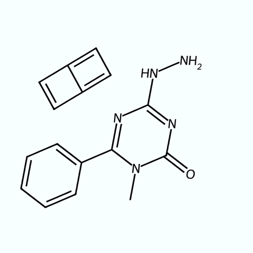 Cn1c(-c2ccccc2)nc(NN)nc1=O.c1cc2ccc1-2